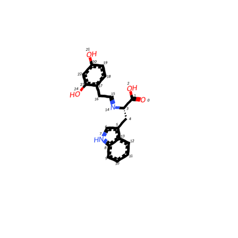 O=C(O)[C@H](Cc1c[nH]c2ccccc12)N=CCc1ccc(O)cc1O